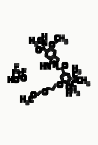 CCOc1cc2c(cc1C(=O)NC)C(=N)N(CC(=O)c1cc(OCCCOCCOC)c(O)c(C(C)(C)C)c1)C2.O=C(O)C(F)(F)F